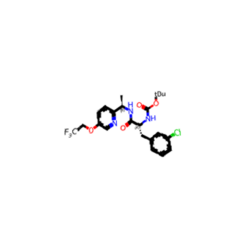 C[C@@H](NC(=O)[C@@H](Cc1cccc(Cl)c1)NC(=O)OC(C)(C)C)c1ccc(OCC(F)(F)F)cn1